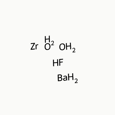 F.O.O.[BaH2].[Zr]